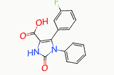 O=C(O)c1[nH]c(=O)n(-c2ccccc2)c1-c1cccc(F)c1